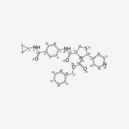 O=C(NC1CC1)c1ccc(NC(=O)C2CSC(c3ccncc3)N2C(=O)OCc2ccccc2)cc1